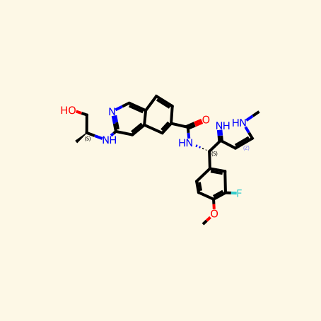 CN/C=C\C(=N)[C@@H](NC(=O)c1ccc2cnc(N[C@@H](C)CO)cc2c1)c1ccc(OC)c(F)c1